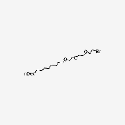 CCCCCCCCCCCCCCCCCCOCCOCCOCCBr